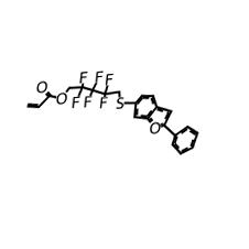 C=CC(=O)OCC(F)(F)C(F)(F)C(F)(F)CSc1ccc2cc(-c3ccccc3)oc2c1